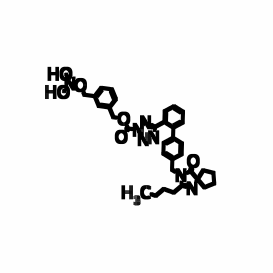 CCCCC1=NC2(CCCC2)C(=O)N1Cc1ccc(-c2ccccc2-c2nnn(C(=O)OCc3cccc(CON(O)O)c3)n2)cc1